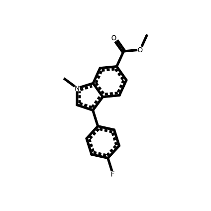 COC(=O)c1ccc2c(-c3ccc(F)cc3)cn(C)c2c1